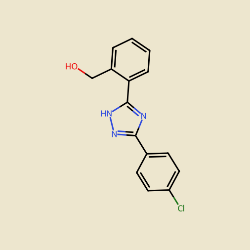 OCc1ccccc1-c1nc(-c2ccc(Cl)cc2)n[nH]1